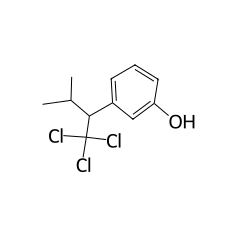 CC(C)C(c1cccc(O)c1)C(Cl)(Cl)Cl